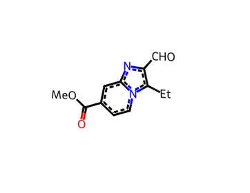 CCc1c(C=O)nc2cc(C(=O)OC)ccn12